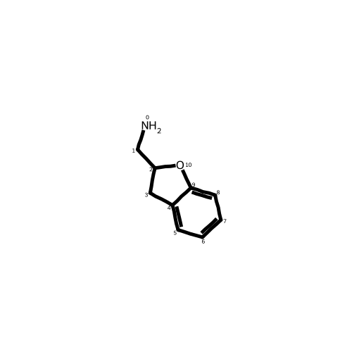 NCC1Cc2ccccc2O1